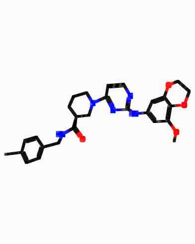 COc1cc(Nc2nccc(N3CCC[C@H](C(=O)NCc4ccc(C)cc4)C3)n2)cc2c1OCCO2